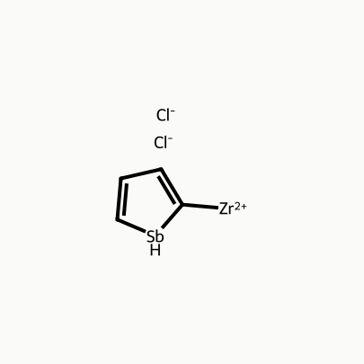 [Cl-].[Cl-].[Zr+2][C]1=CC=[CH][SbH]1